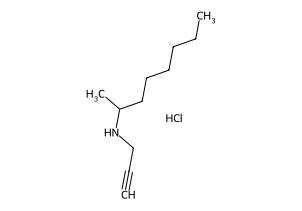 C#CCNC(C)CCCCCC.Cl